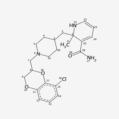 CC1(CC2CCN(CC3COc4cccc(Cl)c4O3)CC2)NC=CC=C1C(N)=O